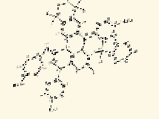 Cc1cc2c3c(c1)N(c1ccc(C(C)(C)C)cc1)c1c(oc4ccc(C(C)(C)C)cc14)B3c1cc3c(cc1N2c1ccc(C(C)(C)C)c2c1C(C)(C)c1ccccc1-2)C(C)(C)CCC3(C)C